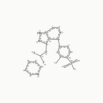 Cc1cc(-c2nccc3[nH]nc(OC(F)F)c23)ccc1S(C)(=O)=O.c1ccncc1